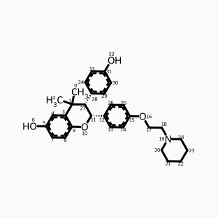 CC1(C)c2cc(O)ccc2O[C@@H](c2ccc(OCCN3CCCCC3)cc2)[C@H]1c1ccc(O)cc1